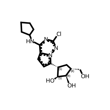 OC[C@H]1C[C@@H](c2ccc3c(NC4CCCC4)nc(Cl)nn23)[C@H](O)[C@@H]1O